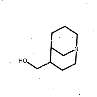 OCC1CCN2CCCC1C2